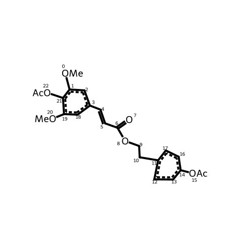 COc1cc(/C=C/C(=O)OCCc2ccc(OC(C)=O)cc2)cc(OC)c1OC(C)=O